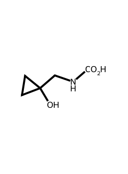 O=C(O)NCC1(O)CC1